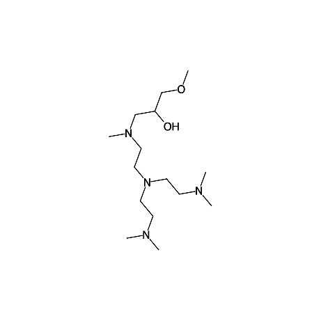 COCC(O)CN(C)CCN(CCN(C)C)CCN(C)C